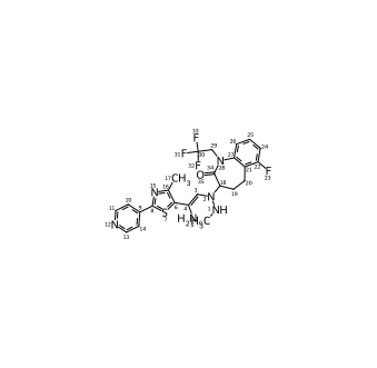 CNN(/C=C(\N)c1sc(-c2ccncc2)nc1C)C1CCc2c(F)cccc2N(CC(F)(F)F)C1=O